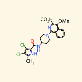 COc1c(C(=O)O)nc(N2CCC(NC(=O)c3[nH]c(C)c(Cl)c3Cl)CC2)c2ccccc12